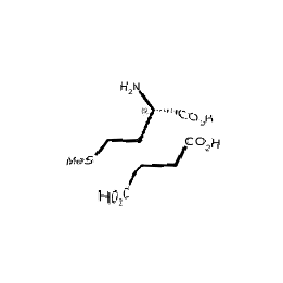 CSCC[C@H](N)C(=O)O.O=C(O)CCC(=O)O